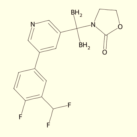 BC(B)(c1cncc(-c2ccc(F)c(C(F)F)c2)c1)N1CCOC1=O